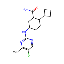 CSc1nc(NC2CCC(C3CCC3)C(C(N)=O)C2)ncc1Cl